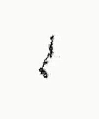 COc1nc(C#CCC(OCCOc2cccc3c2C(=O)N(C2CCC(=O)NC2=O)C3=O)C(N)=O)cnc1NS(=O)(=O)c1ccc(NC(=O)/C=C/c2ccc([N+](=O)[O-])s2)cc1